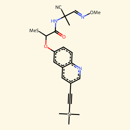 CON=CC(C)(C#N)NC(=O)C(Oc1ccc2ncc(C#C[Si](C)(C)C)cc2c1)SC